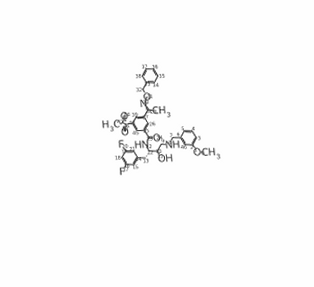 COc1cccc(CNC[C@@H](O)[C@H](Cc2cc(F)cc(F)c2)NC(=O)c2cc(/C(C)=N/OCc3ccccc3)cc(S(C)(=O)=O)c2)c1